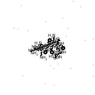 CC(N)NCC(=O)N[C@@H](CS)C(=O)N[C@@H](CCCCN)C(=O)N[C@@H](CC(N)=O)C(=O)N[C@@H](Cc1ccccc1)C(=O)N[C@@H](Cc1ccccc1)C(=O)N[C@H](Cc1c[nH]c2ccccc12)C(=O)N[C@@H](CCCCN)C(=O)N[C@H](C(=O)N[C@@H](Cc1ccccc1)C(=O)N[C@H](C(=O)NC(CO)C(=O)N[C@@H](CS)C(=O)O)C(C)O)C(C)O